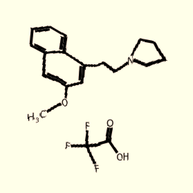 COc1cc(CCN2CCCC2)c2ccccc2c1.O=C(O)C(F)(F)F